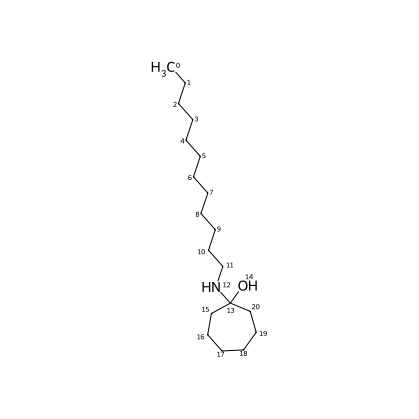 CCCCCCCCCCCCNC1(O)CCCCCC1